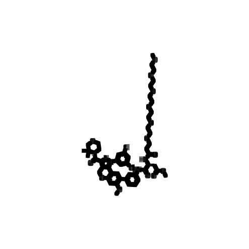 COCCOCCOCCOCCOCCOCCC(=O)N[C@H](CC(=O)OC)C(=O)Nc1cccc(-c2cc3c(cc2OC)OCc2c(C(=O)N4CCOCC4(C)C)nn(-c4cc(Cl)cc(Cl)c4)c2-3)c1